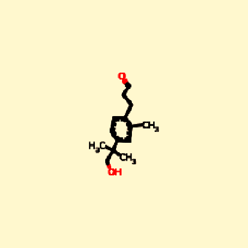 Cc1cc(C(C)(C)CO)ccc1CCC=O